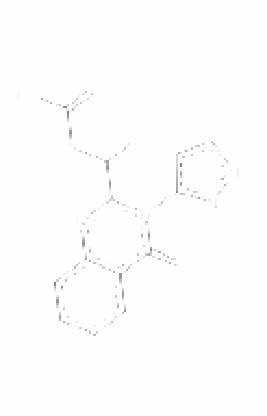 CC(NC(=O)O)c1nc2ccccc2c(=O)n1-c1cc[nH]n1